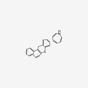 C1=CC=CNC=C1.c1ccc2c(c1)Cc1c(ccc3ccccc13)S2